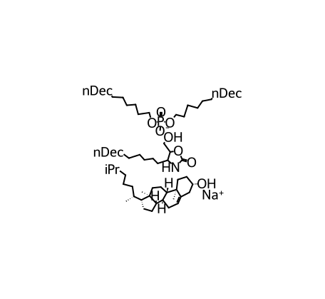 CC(C)CCC[C@@H](C)[C@H]1CC[C@H]2[C@@H]3CC=C4C[C@@H](O)CC[C@]4(C)[C@H]3CC[C@]12C.CCCCCCCCCCCCCCCC1NC(=O)OC1CO.CCCCCCCCCCCCCCCCOP(=O)([O-])OCCCCCCCCCCCCCCCC.[Na+]